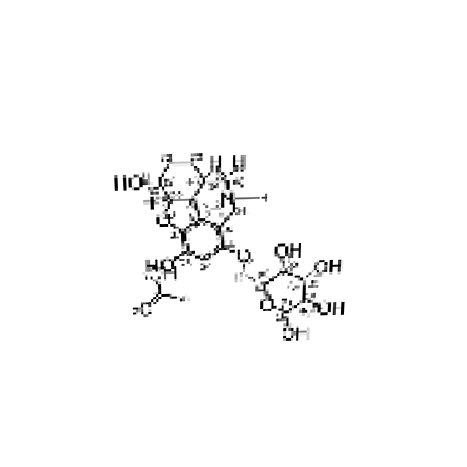 CC(=O)O.CN1CC[C@]23c4c5c(OC[C@H]6O[C@H](O)[C@H](O)[C@@H](O)[C@H]6O)cc(O)c4O[C@H]2[C@@H](O)C=C[C@H]3[C@H]1C5